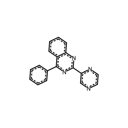 c1ccc(-c2nc(-c3cnccn3)nc3ccccc23)cc1